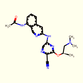 CC(=O)Nc1cccc2cc(Nc3cnc(C#N)c(O[C@H](C)CN(C)C)n3)ncc12